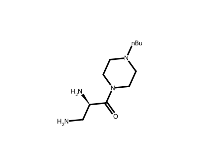 CCCCN1CCN(C(=O)[C@H](N)CN)CC1